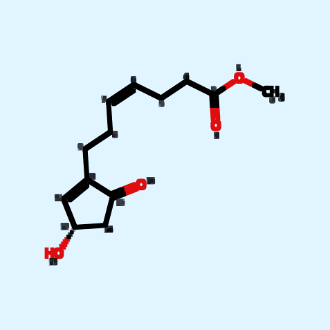 COC(=O)CC/C=C\CCC1=C[C@@H](O)CC1=O